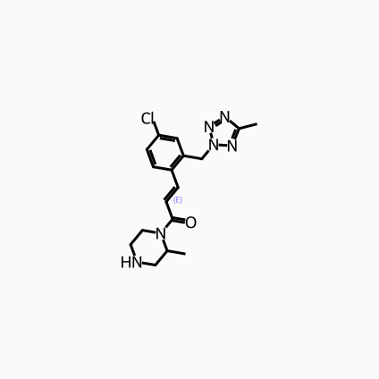 Cc1nnn(Cc2cc(Cl)ccc2/C=C/C(=O)N2CCNCC2C)n1